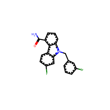 NC(=O)c1cccc2c1c1[c]cc(F)cc1n2Cc1cccc(Br)c1